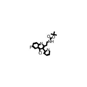 CC(C)(C)OC(=O)NCCc1nc2ccc(F)cc2c(Cl)c1-c1ccccn1